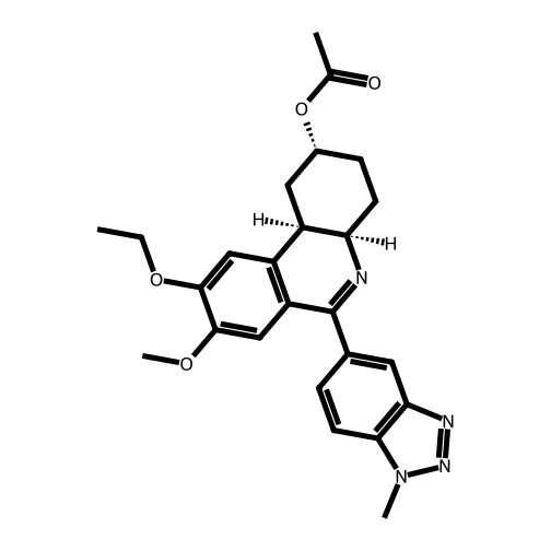 CCOc1cc2c(cc1OC)C(c1ccc3c(c1)nnn3C)=N[C@@H]1CC[C@@H](OC(C)=O)C[C@H]21